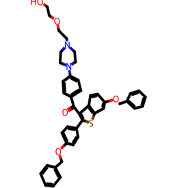 O=C(c1ccc(N2CCN(CCOCCO)CC2)cc1)c1c(-c2ccc(OCc3ccccc3)cc2)sc2cc(OCc3ccccc3)ccc12